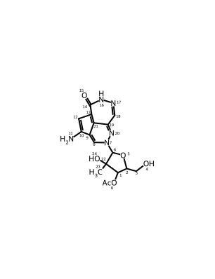 CC(=O)OC1C(CO)OC(n2cc3c(N)cc4c(=O)[nH]ncc(n2)c34)C1(C)O